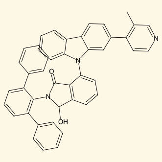 Cc1cnccc1-c1ccc2c3ccccc3n(-c3cccc4c3C(=O)N(c3c(-c5ccccc5)cccc3-c3ccccc3)C4O)c2c1